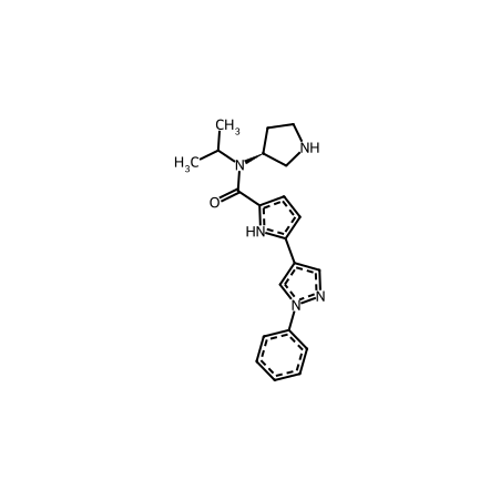 CC(C)N(C(=O)c1ccc(-c2cnn(-c3ccccc3)c2)[nH]1)[C@H]1CCNC1